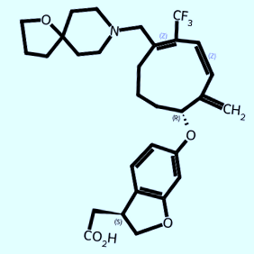 C=C1/C=C\C(C(F)(F)F)=C(\CN2CCC3(CCCO3)CC2)CCC[C@H]1Oc1ccc2c(c1)OC[C@H]2CC(=O)O